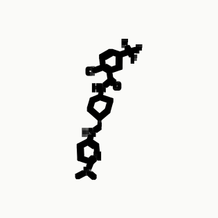 CN(C)c1ccc(NC[C@H]2CC[C@H](NC(=O)c3cc(C(F)(F)F)ccc3Cl)CC2)cn1